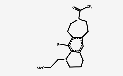 COCCN1CCCc2cc3c(c(Br)c21)CCN(C(=O)C(F)(F)F)CC3